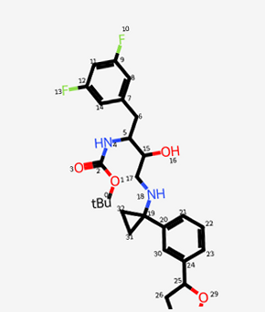 CC(C)(C)OC(=O)NC(Cc1cc(F)cc(F)c1)C(O)CNC1(c2cccc(C3CCCO3)c2)CC1